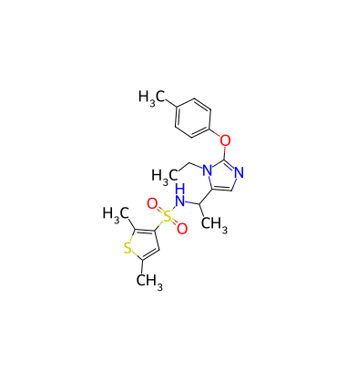 CCn1c(C(C)NS(=O)(=O)c2cc(C)sc2C)cnc1Oc1ccc(C)cc1